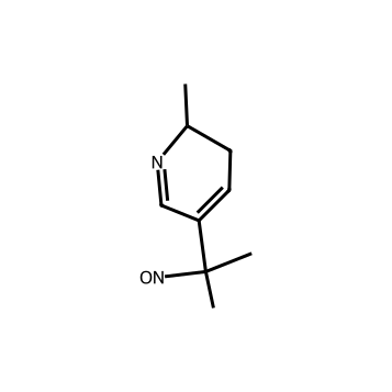 CC1CC=C(C(C)(C)N=O)C=N1